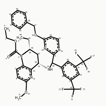 CCOC(=O)N1c2ccc(OC)nc2[C@@H](NC(c2cc(C(F)(F)F)cc(C(F)(F)F)c2)c2nccc(OCc3ccccc3)n2)C[C@H]1CC